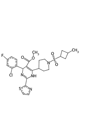 COC(=O)C1=C(C2CCN(S(=O)(=O)C3CC(C)C3)CC2)NC(c2nccs2)=NC1c1ccc(F)cc1Cl